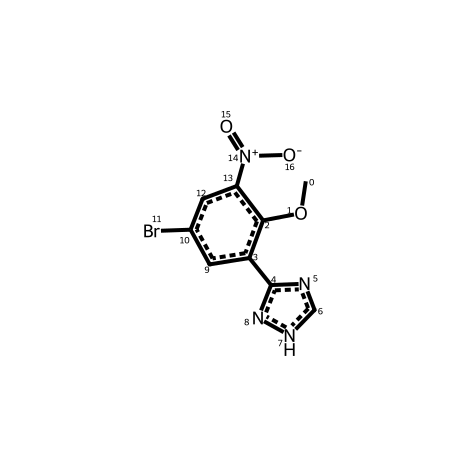 COc1c(-c2nc[nH]n2)cc(Br)cc1[N+](=O)[O-]